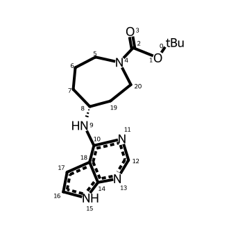 CC(C)(C)OC(=O)N1CCC[C@@H](Nc2ncnc3[nH]ccc23)CC1